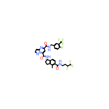 Cc1c(C(=O)NCCC(F)C(F)F)ccc2c1CC[C@@H]2NC(=O)c1cc(C(=O)NCc2ccc(F)c(C(F)(F)F)c2)nc2ccnn12